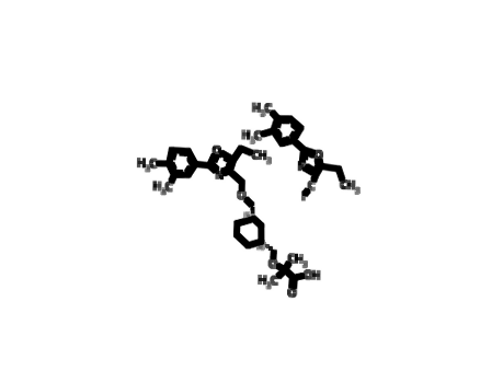 CCc1oc(-c2ccc(C)c(C)c2)nc1CI.CCc1oc(-c2ccc(C)c(C)c2)nc1COC[C@H]1CCC[C@@H](COC(C)(C)C(=O)O)C1